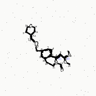 C/N=C(\C=C1\c2ccc(COCC3CCOCC3)cc2CCN1C=O)OC